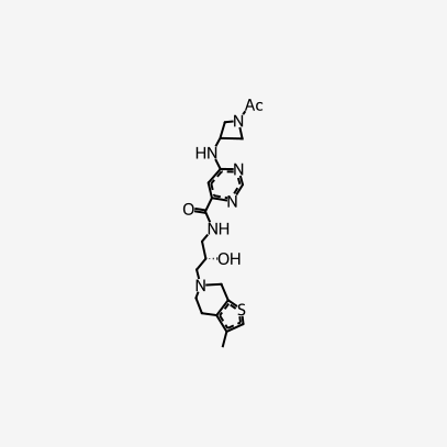 CC(=O)N1CC(Nc2cc(C(=O)NC[C@H](O)CN3CCc4c(C)csc4C3)ncn2)C1